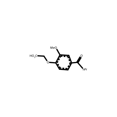 CCCC(=O)c1ccc(OCC(=O)O)c(OC)c1